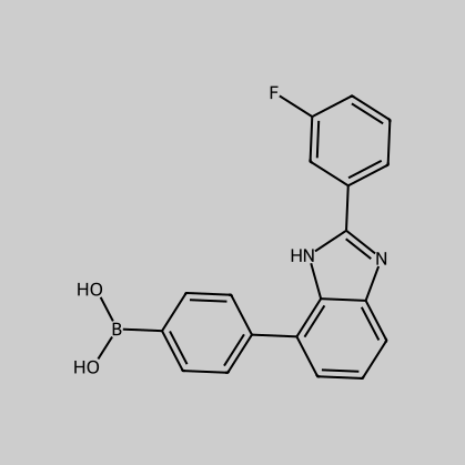 OB(O)c1ccc(-c2cccc3nc(-c4cccc(F)c4)[nH]c23)cc1